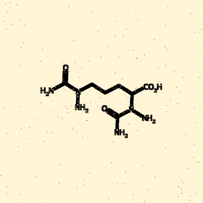 NC(=O)N(N)CCCC(C(=O)O)N(N)C(N)=O